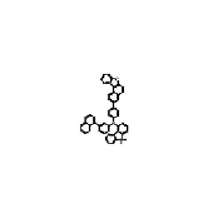 CC1(C)c2ccccc2-c2c(N(c3ccc(-c4ccc5c(ccc6oc7ccccc7c65)c4)cc3)c3cccc(-c4cccc5ccccc45)c3)cccc21